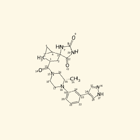 CC(CC1(C2CC2)NC(=O)NC1=O)C(=O)N1CCN(c2cccc(-c3cn[nH]c3)c2)[C@@H](C)C1